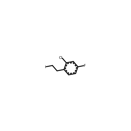 Fc1ccc(CCI)c(Cl)c1